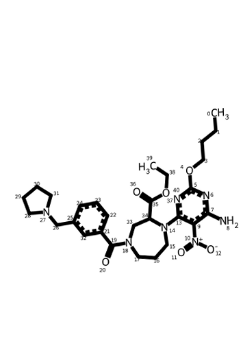 CCCCOc1nc(N)c([N+](=O)[O-])c(N2CCCN(C(=O)c3cccc(CN4CCCC4)c3)CC2C(=O)OCC)n1